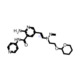 C=NN(/C=C/c1cnc(N)c(C(=O)Nc2ccncc2)c1)CCOC1CCCCO1